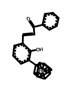 O=C(C=Cc1cccc([C]23[CH]4[CH]5[CH]6[CH]2[Fe]56432789[CH]3[CH]2[CH]7[CH]8[CH]39)c1O)c1ccccc1